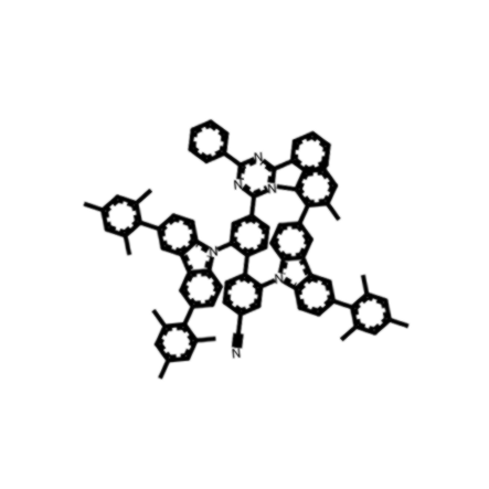 Cc1cc(C)c(-c2ccc3c(c2)c2cc(-c4c(C)cc(C)cc4C)ccc2n3-c2cc(C#N)ccc2-c2ccc(-c3nc(-c4ccccc4)nc(-c4ccccc4)n3)cc2-n2c3ccc(-c4c(C)cc(C)cc4C)cc3c3cc(-c4c(C)cc(C)cc4C)ccc32)c(C)c1